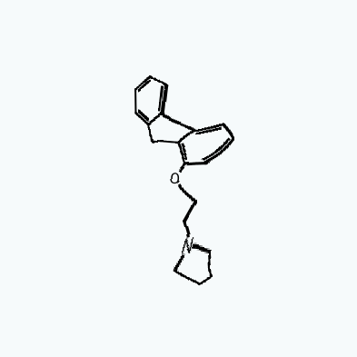 c1ccc2c(c1)Cc1c(OCCN3CCCC3)cccc1-2